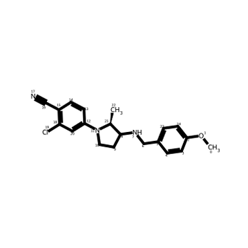 COc1ccc(CNC2CCN(c3ccc(C#N)c(Cl)c3)[C@H]2C)cc1